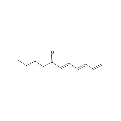 C=CC=CC=CC(=O)CCCC